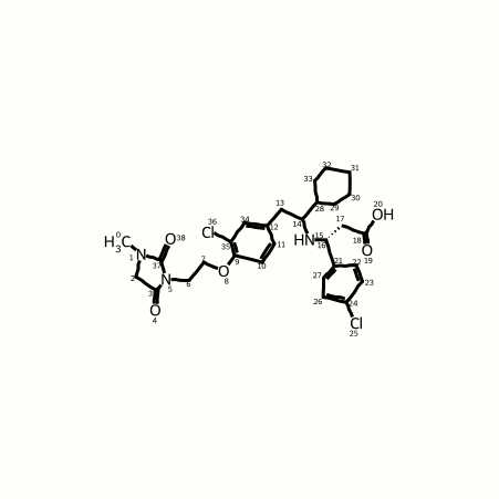 CN1CC(=O)N(CCOc2ccc(CC(N[C@H](CC(=O)O)c3ccc(Cl)cc3)C3CCCCC3)cc2Cl)C1=O